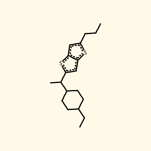 CCCc1cc2sc(C(C)C3CCC(CC)CC3)cc2s1